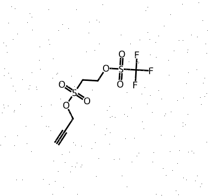 C#CCOS(=O)(=O)CCOS(=O)(=O)C(F)(F)F